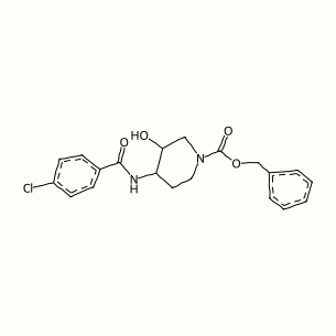 O=C(NC1CCN(C(=O)OCc2ccccc2)CC1O)c1ccc(Cl)cc1